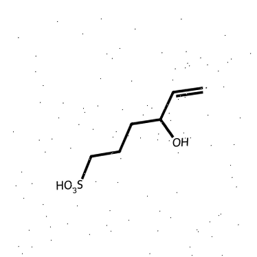 [CH]=CC(O)CCCS(=O)(=O)O